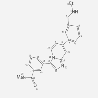 CCNCc1cccc(-c2ccn3c(-c4cccc(C(=O)NC)c4)cnc3c2)c1